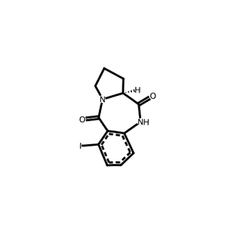 O=C1Nc2cccc(I)c2C(=O)N2CCC[C@@H]12